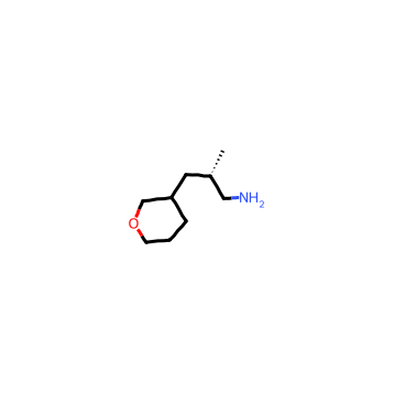 C[C@H](CN)CC1CCCOC1